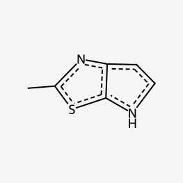 Cc1nc2cc[nH]c2s1